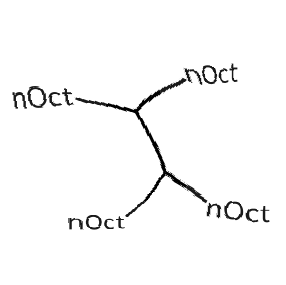 CCCCCCCCC(CCCCCCCC)C(CCCCCCCC)CCCCCCCC